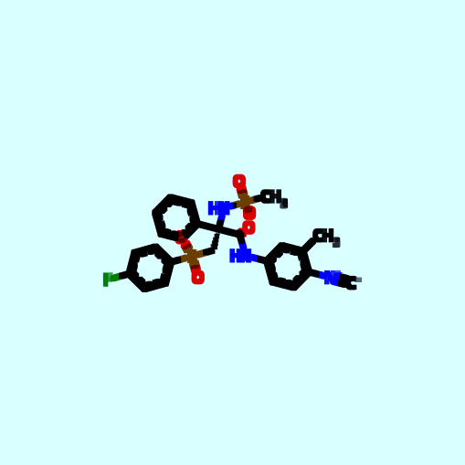 [C-]#[N+]c1ccc(NC(=O)[C@](CS(=O)(=O)c2ccc(F)cc2)(NS(C)(=O)=O)c2ccccc2)cc1C